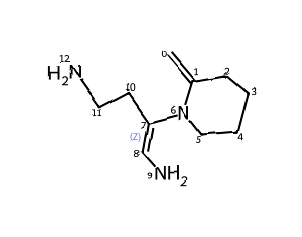 C=C1CCCCN1/C(=C\N)CCN